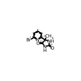 CC1(c2cccc(Br)n2)NC(=O)NC1=O